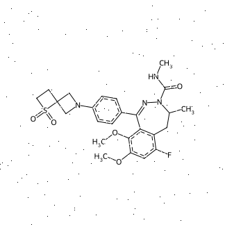 CNC(=O)N1N=C(c2ccc(N3CC4(CCS4(=O)=O)C3)cc2)c2c(c(F)cc(OC)c2OC)CC1C